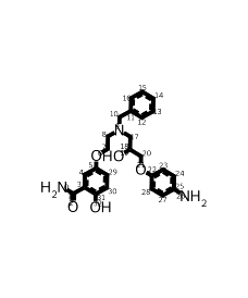 NC(=O)c1cc(OCCN(Cc2ccccc2)CC(O)COc2ccc(N)cc2)ccc1O